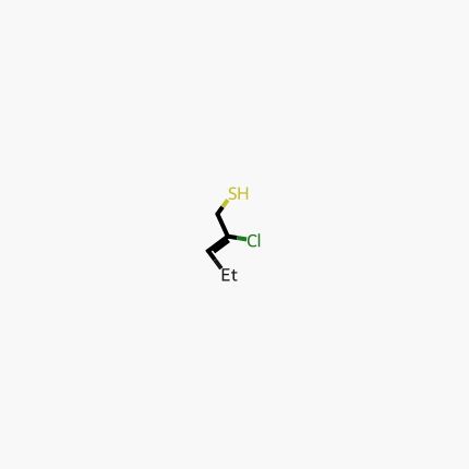 CCC=C(Cl)CS